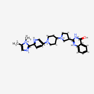 Cc1cnc(-c2ccc(N3CCC(N4CCC(c5nc6ccccc6c(=O)[nH]5)C4)CC3)cn2)n1C